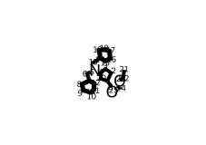 CC1CCC(N(Cc2ccccc2)Cc2ccccc2)C1.CCOC=O